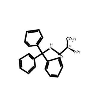 CCC[C@H](C(=O)O)C(=O)NC(c1ccccc1)(c1ccccc1)c1ccccc1